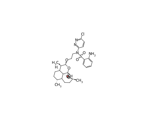 C[C@H]1[C@@H](OCCN(c2ccc(Cl)nn2)S(=O)(=O)c2ccccc2N)O[C@@H]2O[C@@]3(C)CCC4[C@H](C)CC[C@@H]1[C@]42OO3